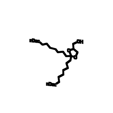 CCCCCCCCCCCCCCCCCC1(CCCCCCCCCCCCCCCCC)OCC(CO)O1